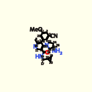 COc1cc(C#N)cc(-c2c(C)ncc(C(=O)N[C@@H](C)C3CC3)c2N2CC[C@](C)(N)C2)c1